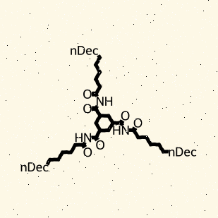 CCCCCCCCCCCCCCCC(=O)NC(=O)C1CC(C(=O)NC(=O)CCCCCCCCCCCCCCC)CC(C(=O)NC(=O)CCCCCCCCCCCCCCC)C1